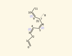 C=CC/C=C\C=C/[C@@H](C)/C=C\C